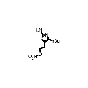 CCCCc1nc(N)sc1CCO[N+](=O)[O-]